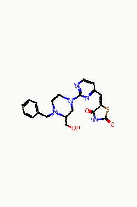 O=C1NC(=O)/C(=C\c2ccnc(N3CCN(Cc4ccccc4)C(CO)C3)n2)S1